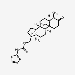 CN1C(=O)CC[C@]2(C)[C@H]3CC[C@]4(C)[C@@H](CNC(=O)Nc5nccs5)CC[C@H]4[C@@H]3CC[C@@H]12